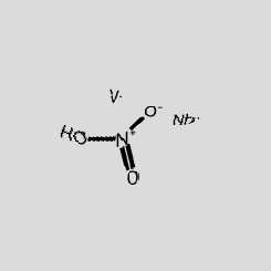 O=[N+]([O-])O.[Nb].[V]